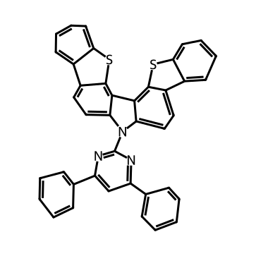 c1ccc(-c2cc(-c3ccccc3)nc(-n3c4ccc5c6ccccc6sc5c4c4c5sc6ccccc6c5ccc43)n2)cc1